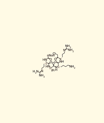 CCCCCCCCCC(=O)N[C@@H](CCCN=C(N)N)C(=O)N[C@H](C(=O)N[C@@H](CCCCN)C(=O)N[C@@H](CCCN=C(N)N)C(=O)CCl)C(C)C